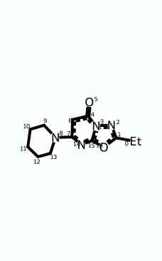 CCc1nn2c(=O)cc(N3CCCCC3)nc2o1